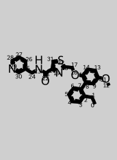 CCc1ccccc1-c1cc(OC)ccc1OCc1nc(C(=O)NCc2cccnc2)cs1